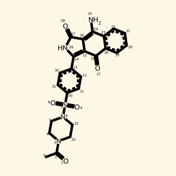 CC(=O)N1CCN(S(=O)(=O)c2ccc(C3=C4C(=O)c5ccccc5C(N)=C4C(=O)N3)cc2)CC1